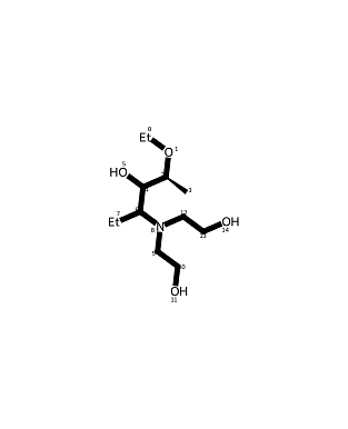 CCO[C@@H](C)C(O)C(CC)N(CCO)CCO